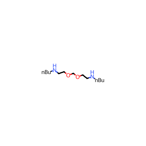 CCCCNCCOCOCCNCCCC